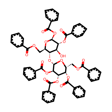 O=C(OC[C@H]1O[C@@H](O[C@H]2[C@H](O)[C@@H](OC(=O)c3ccccc3)[C@H](OC(=O)c3ccccc3)O[C@@H]2COC(=O)c2ccccc2)[C@H](OC(=O)c2ccccc2)[C@@H](OC(=O)c2ccccc2)[C@H]1OC(=O)c1ccccc1)c1ccccc1